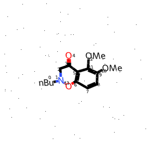 CCCCN1CC(=O)c2c(ccc(OC)c2OC)O1